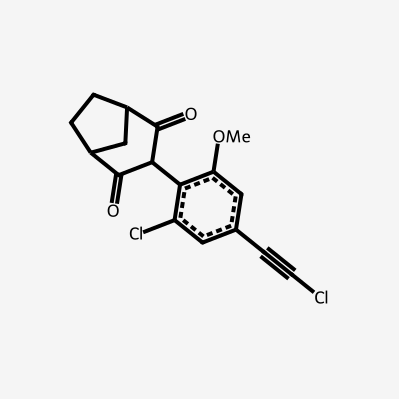 COc1cc(C#CCl)cc(Cl)c1C1C(=O)C2CCC(C2)C1=O